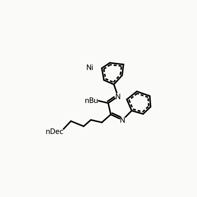 CCCCCCCCCCCCCCC(=Nc1ccccc1)C(CCCC)=Nc1ccccc1.[Ni]